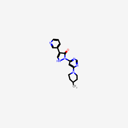 O=c1c(-c2cccnc2)c[nH]n1-c1cc(N2CCC(C(F)(F)F)CC2)ncn1